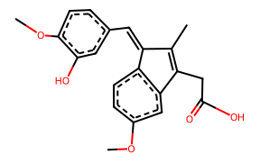 COc1ccc2c(c1)C(CC(=O)O)=C(C)/C2=C/c1ccc(OC)c(O)c1